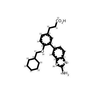 Nc1nc2ccc(-c3cc(CCC(=O)O)ccc3OCC3CCCCC3)cc2s1